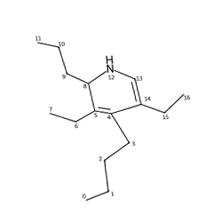 CCCCC1=C(CC)C(CCC)NC=C1CC